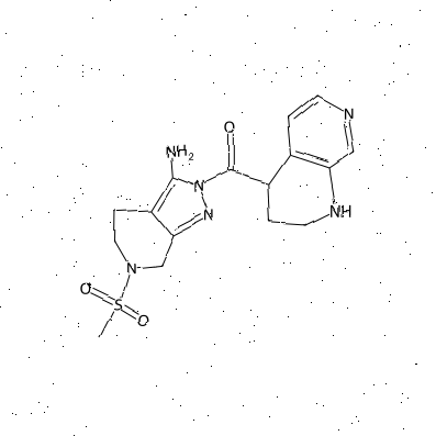 CS(=O)(=O)N1CCc2c(nn(C(=O)C3CCNc4cnccc43)c2N)C1